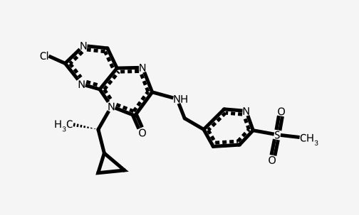 C[C@@H](C1CC1)n1c(=O)c(NCc2ccc(S(C)(=O)=O)nc2)nc2cnc(Cl)nc21